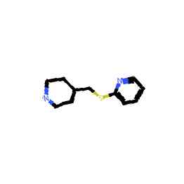 c1ccc(SCC2CC[N]CC2)nc1